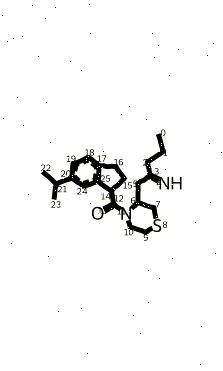 CCCC(=N)CC1CSCCN1C(=O)C1CCc2ccc(C(C)C)cc21